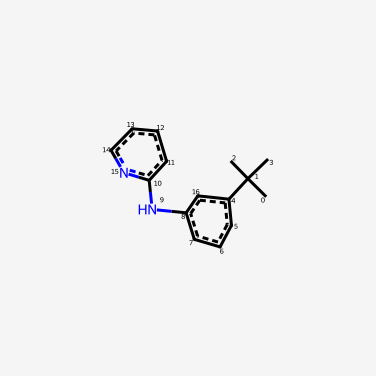 CC(C)(C)c1cccc(Nc2cc[c]cn2)c1